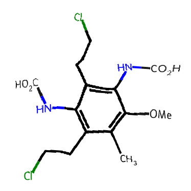 COc1c(C)c(CCCl)c(NC(=O)O)c(CCCl)c1NC(=O)O